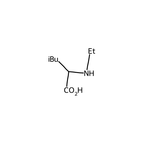 CCNC(C(=O)O)C(C)CC